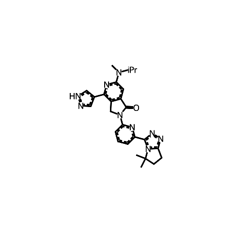 CC(C)N(C)c1cc2c(c(-c3cn[nH]c3)n1)CN(c1cccc(-c3nnc4n3C(C)(C)CC4)n1)C2=O